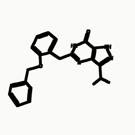 CC(C)c1n[nH]c2c(=O)[nH]c(Cc3ccccc3OCc3ccccc3)nc12